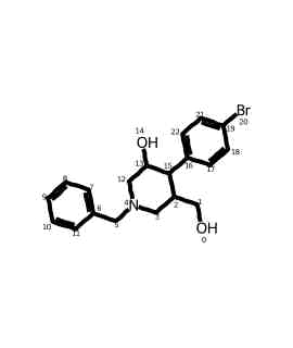 OCC1CN(Cc2ccccc2)CC(O)C1c1ccc(Br)cc1